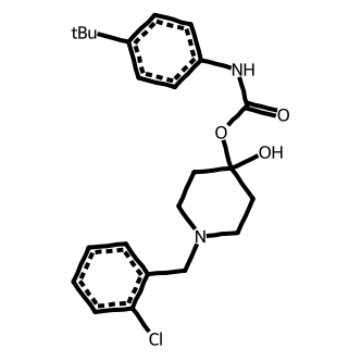 CC(C)(C)c1ccc(NC(=O)OC2(O)CCN(Cc3ccccc3Cl)CC2)cc1